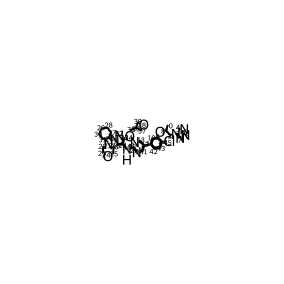 CC(Cn1cnnn1)Oc1cc(-c2cnc(Nc3cn(C4(N5CCOCC5)CCCCC4)nc3OCC3COC3)nc2)ccc1Cl